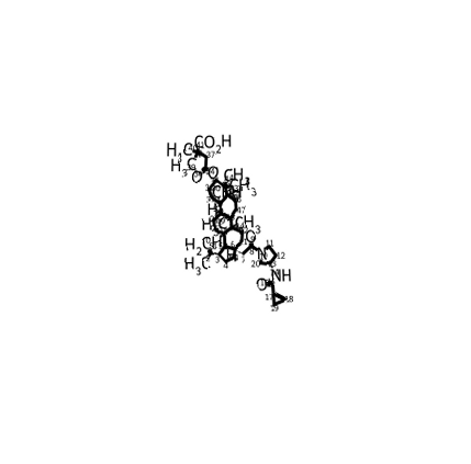 C=C(C)[C@@H]1CC[C@]2(CC(=O)N3CC[C@H](NC(=O)C4CC4)C3)CC[C@]3(C)[C@H](CC[C@@H]4[C@@]5(C)CC[C@H](OC(=O)CC(C)(C)C(=O)O)C(C)(C)[C@@H]5CC[C@]43C)[C@@H]12